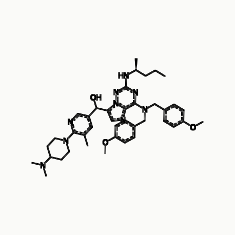 CCC[C@H](C)Nc1nc(N(Cc2ccc(OC)cc2)Cc2ccc(OC)cc2)c2ncc(C(O)c3cnc(N4CCC(N(C)C)CC4)c(C)c3)n2n1